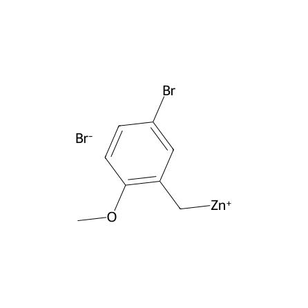 COc1ccc(Br)cc1[CH2][Zn+].[Br-]